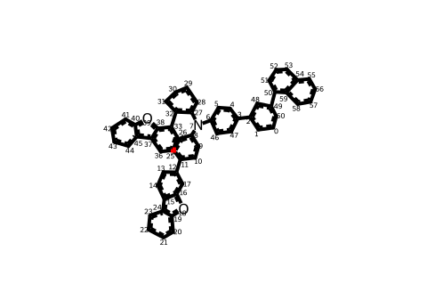 c1cc(-c2ccc(N(c3ccc(-c4ccc5c(c4)oc4ccccc45)cc3)c3ccccc3-c3cccc4c3oc3ccccc34)cc2)cc(-c2cccc3ccccc23)c1